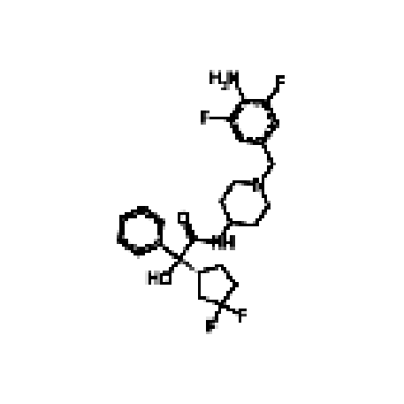 Nc1c(F)cc(CN2CCC(NC(=O)C(O)(c3ccccc3)[C@@H]3CCC(F)(F)C3)CC2)cc1F